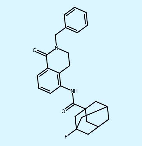 O=C1c2cccc(NC(=O)C34CC5CC(CC(F)(C5)C3)C4)c2CCN1Cc1ccccc1